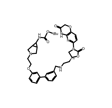 CC(C)(C)OC(=O)NC1C2CN(CCOc3cccc(-c4cccc(CNCC[C@H]5CN(c6ccc7c(n6)NC(=O)CO7)C(=O)O5)c4)c3)CC21